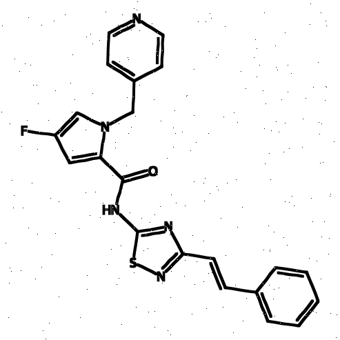 O=C(Nc1nc(C=Cc2ccccc2)ns1)c1cc(F)cn1Cc1ccncc1